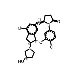 O=C1CCC(=O)N1c1ccc(Cl)c(O[C@H]2c3cc(Cl)cc(Cl)c3C[C@@H]2N2CC[C@@H](O)C2)c1